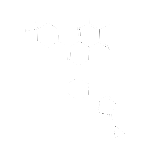 Cc1nc2c(C3CCC(F)(F)CC3)nc([C@H]3CCO[C@@H](c4cnn(C5CC5)c4)C3)cn2c(=O)c1C